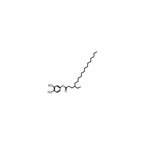 CCCCCCCCCCCCCCC(CC)CCC(=O)Oc1ccc(O)c(O)c1